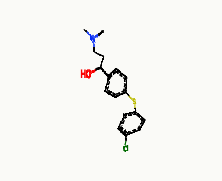 CN(C)CCC(O)c1ccc(Sc2ccc(Cl)cc2)cc1